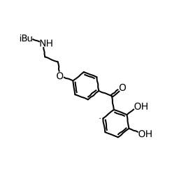 CCC(C)NCCOc1ccc(C(=O)c2[c]ccc(O)c2O)cc1